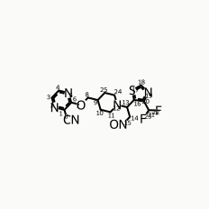 N#Cc1nccnc1OCC1CCN(C(CN=O)c2scnc2C(F)F)CC1